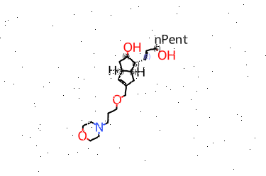 CCCCC[C@H](O)/C=C/[C@@H]1[C@H]2CC(COCCCN3CCOCC3)=C[C@H]2C[C@H]1O